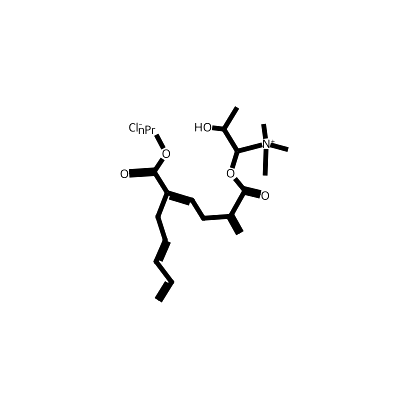 C=CC=CCC(=CCC(=C)C(=O)OC(C(C)O)[N+](C)(C)C)C(=O)OCCC.[Cl-]